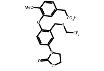 COc1ccc(CC(=O)O)cc1Oc1ccc(N2CCOC2=O)cc1CSCC(F)(F)F